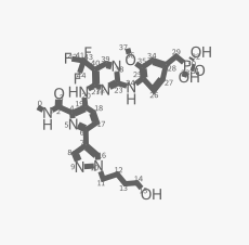 CNC(=O)c1nc(-c2cnn(CCCCO)c2)ccc1Nc1nc(Nc2ccc(CP(=O)(O)O)cc2OC)ncc1C(F)(F)F